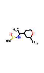 CC1CC(C(C)N[S+]([O-])C(C)(C)C)CCO1